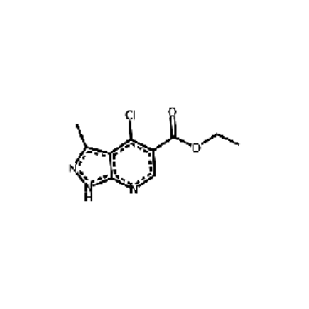 CCOC(=O)c1cnc2[nH]nc(C)c2c1Cl